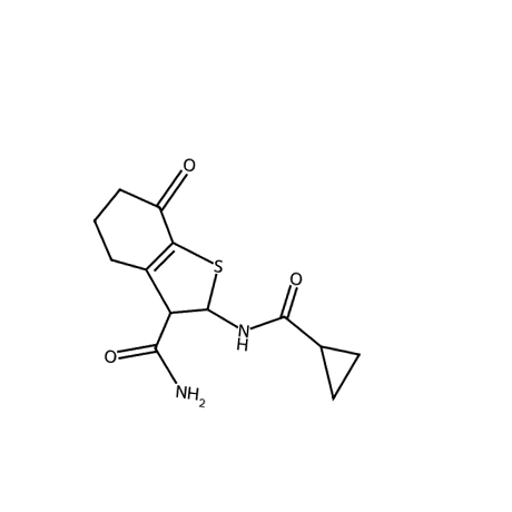 NC(=O)C1C2=C(SC1NC(=O)C1CC1)C(=O)CCC2